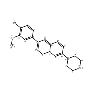 Oc1ccc(C2=CCN3C=C(N4CCNCC4)C=CC3=N2)cc1OC(F)(F)F